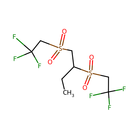 CCC(CS(=O)(=O)CC(F)(F)F)S(=O)(=O)CC(F)(F)F